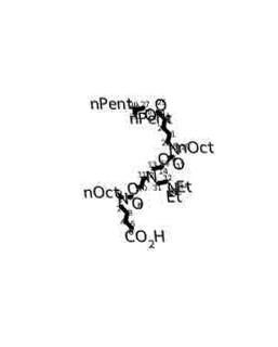 CCCCCCCCN(CCCCC(=O)O)C(=O)OCCN(CCOC(=O)N(CCCCCCCC)CCCCC(=O)OCC(CCCCC)CCCCC)CCN(CC)CC